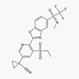 CCS(=O)(=O)c1cc(C2(C#N)CC2)cnc1-c1nc2cc(S(=O)(=NC)C(F)(F)F)ccc2o1